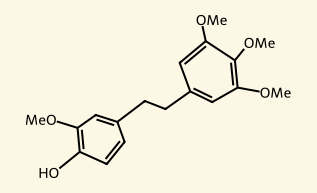 COc1cc(CCc2cc(OC)c(OC)c(OC)c2)ccc1O